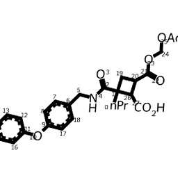 CCCC1(C(=O)NCc2ccc(Oc3ccccc3)cc2)CC(C(=O)OCOC(C)=O)C1C(=O)O